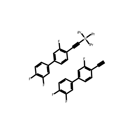 C#Cc1ccc(-c2ccc(F)c(F)c2)cc1F.CC(C)[Si](C#Cc1ccc(-c2ccc(F)c(F)c2)cc1F)(C(C)C)C(C)C